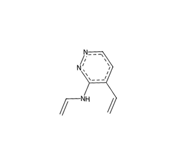 C=CNc1nnccc1C=C